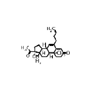 C=CCCC1=C[C@@H]2[C@H](CC[C@@]3(C)[C@H]2CC[C@]3(O)C(C)=O)[C@@]2(C)CCC(=O)C=C12